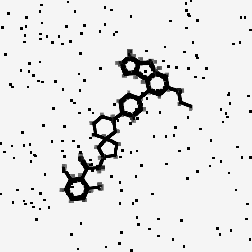 CCOc1cc(-c2ccc(N3CCCC4(CCN(NC(=O)c5c(F)cccc5Cl)C4)C3)nc2)c2c3cn[nH]c3nn2c1